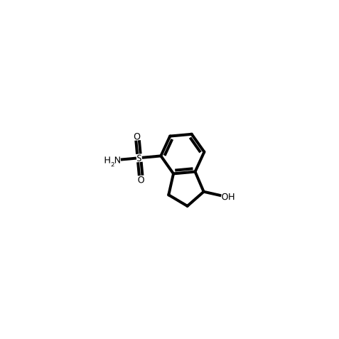 NS(=O)(=O)c1cccc2c1CCC2O